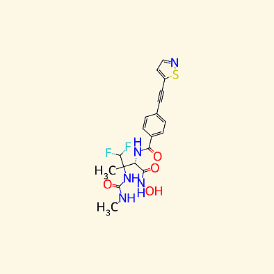 CNC(=O)NC(C)(C(F)F)[C@H](NC(=O)c1ccc(C#Cc2ccns2)cc1)C(=O)NO